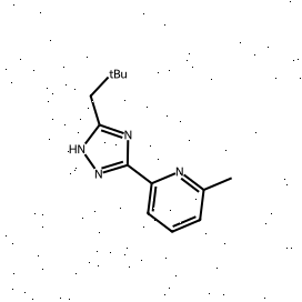 Cc1cccc(-c2n[nH]c(CC(C)(C)C)n2)n1